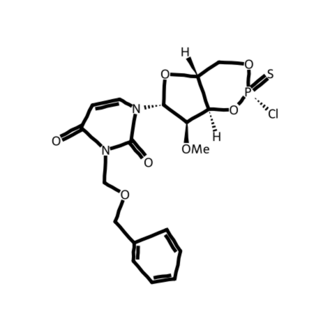 CO[C@@H]1[C@@H]2O[P@@](=S)(Cl)OC[C@H]2O[C@H]1n1ccc(=O)n(COCc2ccccc2)c1=O